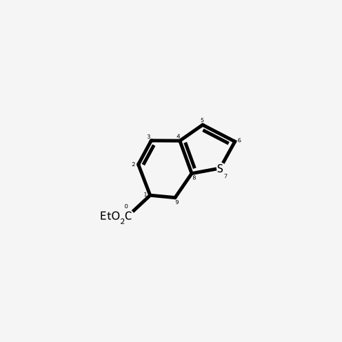 CCOC(=O)C1C=Cc2ccsc2C1